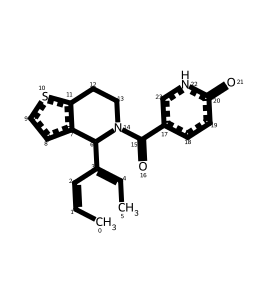 C/C=C\C(=C/C)C1c2ccsc2CCN1C(=O)c1ccc(=O)[nH]c1